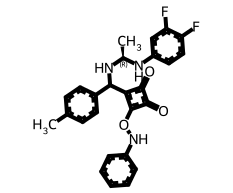 Cc1ccc(C(N[C@@H](C)Nc2ccc(F)c(F)c2)c2c(ONc3ccccc3)c(=O)c2=O)cc1